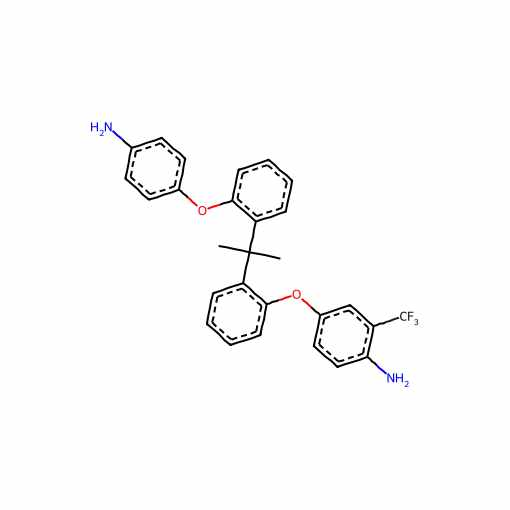 CC(C)(c1ccccc1Oc1ccc(N)cc1)c1ccccc1Oc1ccc(N)c(C(F)(F)F)c1